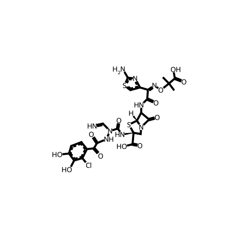 CC(C)(O/N=C(\C(=O)NC1C(=O)N2C[C@](NC(=O)N(C=N)NC(=O)C(=O)c3ccc(O)c(O)c3Cl)(C(=O)O)S[C@H]12)c1csc(N)n1)C(=O)O